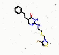 O=c1[nH]c(NCCSCN2CSC=C2Br)ncc1CCc1ccccc1